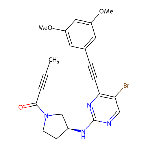 CC#CC(=O)N1CC[C@H](Nc2ncc(Br)c(C#Cc3cc(OC)cc(OC)c3)n2)C1